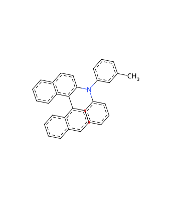 Cc1cccc(N(c2ccccc2)c2ccc3ccccc3c2-c2cccc3ccccc23)c1